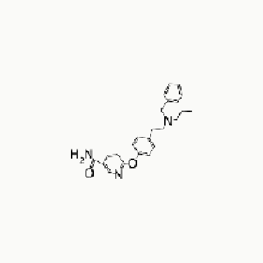 CCCN(CCc1ccc(Oc2ccc(C(N)=O)cn2)cc1)Cc1ccccc1